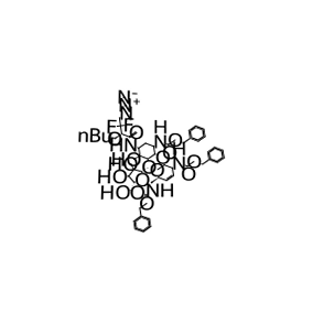 CCCCO[C@H](C(=O)N[C@@H]1C[C@H](NC(=O)OCc2ccccc2)[C@@H](O[C@H]2O[C@H](CNC(=O)OCc3ccccc3)C=C[C@H]2NC(=O)OCc2ccccc2)[C@H](O[C@@H]2O[C@H](CO)[C@@H](O)[C@H]2O)[C@H]1O)C(F)(F)CN=[N+]=[N-]